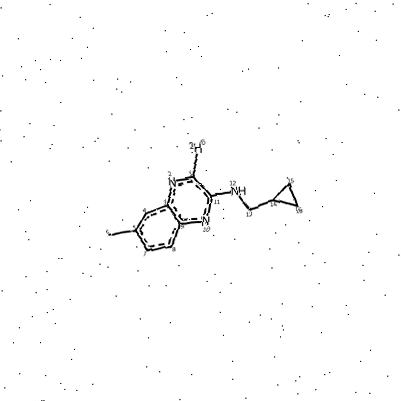 [2H]c1nc2cc(C)ccc2nc1NCC1CC1